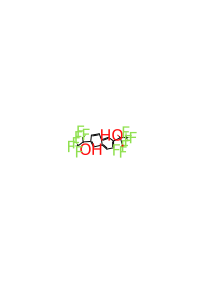 OC(c1ccc2cc(C(O)(C(F)(F)F)C(F)(F)F)ccc2c1)(C(F)(F)F)C(F)(F)F